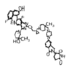 CCc1c(F)ccc2cc(O)cc(-c3ncc4c(N5CCC[C@@](C)(O)C5)nc(OCC5(CN6CCC(C)(CN7CCN(c8ccc9c(c8)CN([C@@H]8CCC(=O)NC8=O)C9=O)CC7)CC6)CC5)nc4c3F)c12